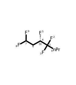 [CH2]CCC(F)(F)[C@@H](F)CC(F)F